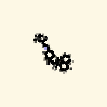 O=C(/C=C/c1ccc(NS(=O)(=O)c2cccc3cccnc23)cc1)NO